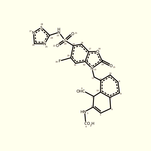 O=CC1C(NC(=O)O)=CCc2cccc(Cn3c(=O)oc4cc(S(=O)(=O)Nc5ncns5)c(F)cc43)c21